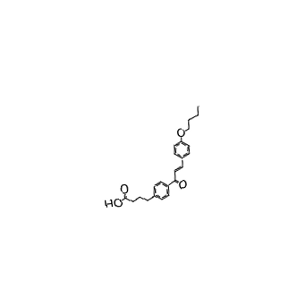 CCCCOc1ccc(C=CC(=O)c2ccc(CCCC(=O)O)cc2)cc1